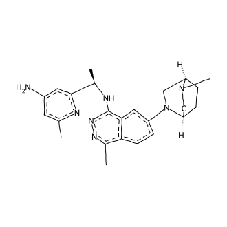 Cc1cc(N)cc([C@@H](C)Nc2nnc(C)c3ccc(N4C[C@H]5CC[C@@H]4CN5C)cc23)n1